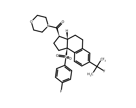 CC(F)(c1ccc2c(c1)CC[C@H]1[C@H](C(=O)N3CCOCC3)CC[C@@]21S(=O)(=O)c1ccc(F)cc1)C(F)(F)F